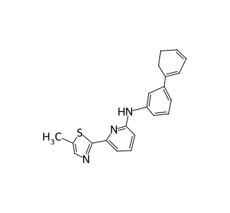 Cc1cnc(-c2cccc(Nc3cccc(C4=CC=CCC4)c3)n2)s1